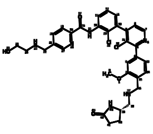 COc1cc(-c2nccc(-c3cccc(NC(=O)c4ccc(CNCCO)cn4)c3Cl)c2Cl)ccc1CNC[C@@H]1CCC(=O)N1